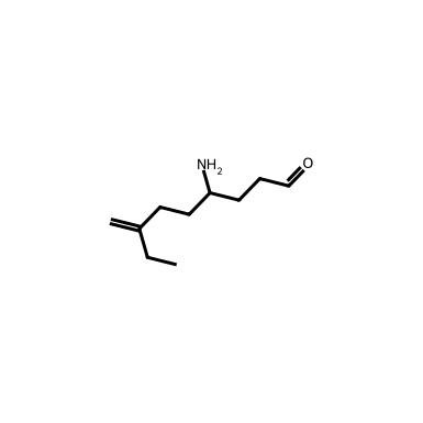 C=C(CC)CCC(N)CCC=O